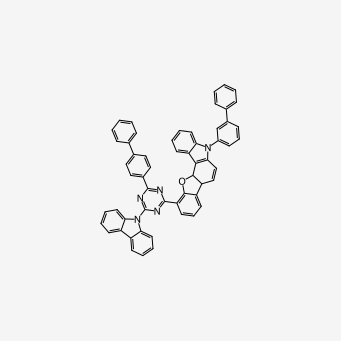 C1=CC2c3cccc(-c4nc(-c5ccc(-c6ccccc6)cc5)nc(-n5c6ccccc6c6ccccc65)n4)c3OC2c2c1n(-c1cccc(-c3ccccc3)c1)c1ccccc21